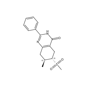 C[C@H]1Cc2nc(-c3ccccc3)[nH]c(=O)c2C[C@@H]1S(C)(=O)=O